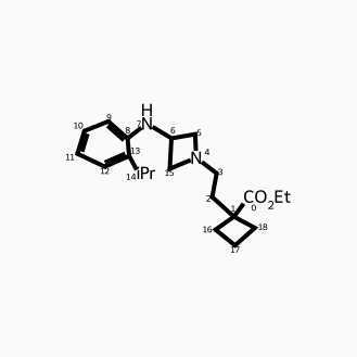 CCOC(=O)C1(CCN2CC(Nc3ccccc3C(C)C)C2)CCC1